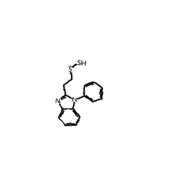 SSCCc1nc2ccccc2n1-c1ccccc1